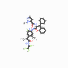 CC(C(=O)NC(F)C(F)F)c1cc(F)c(NC(=O)[C@@H](NC(=O)c2ccnn2C(C)C)C(C2CCCCC2)C2CCCCC2)cc1C(F)(F)F